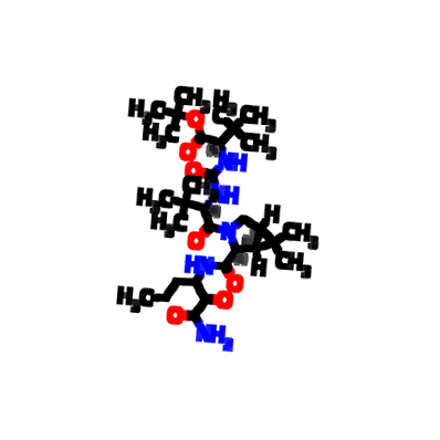 CCCC(NC(=O)[C@@H]1[C@@H]2[C@H](CN1C(=O)[C@@H](NC(=O)N[C@H](C(=O)OC(C)(C)C)C(C)(C)C)C(C)(C)C)C2(C)C)C(=O)C(N)=O